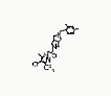 Cc1ccc(CN2CC3CN(C(=O)Cn4nc(C(F)(F)F)c(Cl)c4C)CC3C2)c(C)c1